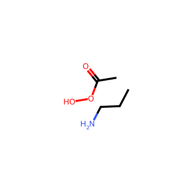 CC(=O)OO.CCCN